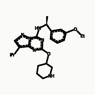 CCOc1cccc([C@H](C)Nc2nc(OC3CCCNC3)nc3c(C(C)C)cnn23)c1